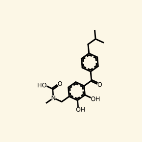 CC(C)Cc1ccc(C(=O)c2ccc(CN(C)C(=O)O)c(O)c2O)cc1